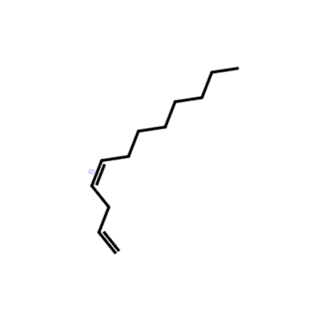 C=CC/C=C\CCCCCCC